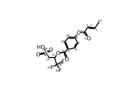 O=C(/C=C/I)Oc1ccc(C(=O)OC(CS(=O)(=O)O)C(F)(F)F)cc1